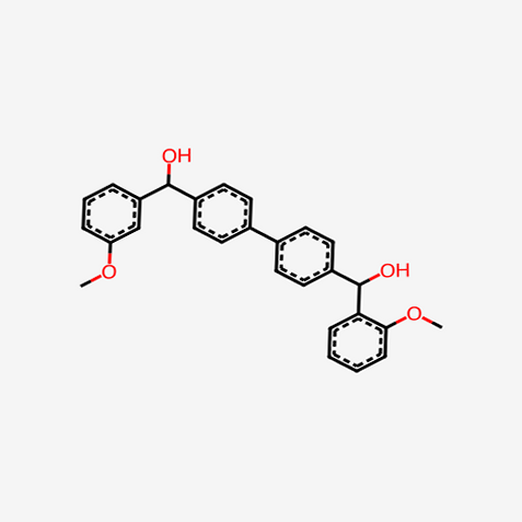 COc1cccc(C(O)c2ccc(-c3ccc(C(O)c4ccccc4OC)cc3)cc2)c1